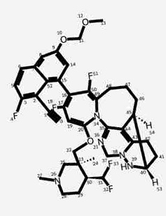 C#Cc1c(F)ccc2cc(OCOC)cc(C3=C(F)C=C(OC[C@]4(C)CN(C)CC[C@@H]4C(F)F)N4C5=NCN6N[C@H]7CCC6=C5[C@H]7CCCC4=C3F)c12